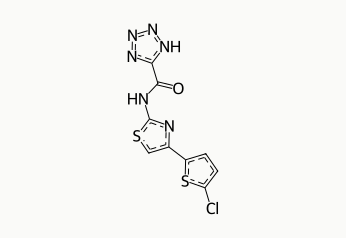 O=C(Nc1nc(-c2ccc(Cl)s2)cs1)c1nnn[nH]1